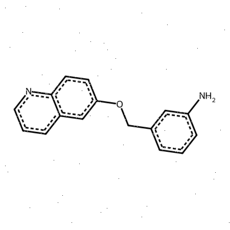 Nc1cccc(COc2ccc3ncccc3c2)c1